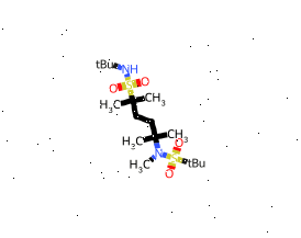 CN(C(C)(C)CCC(C)(C)S(=O)(=O)NC(C)(C)C)S(=O)(=O)C(C)(C)C